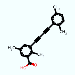 Cc1ccc(C)c(C#CC#Cc2cc(C)cc(C(=O)O)c2C)c1